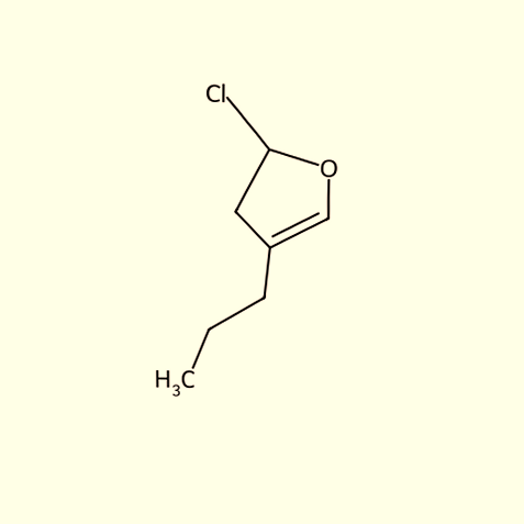 CCCC1=COC(Cl)C1